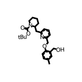 Cc1ccc(OCc2cccc(CC3CCCCN3C(=O)OC(C)(C)C)n2)c(CO)c1